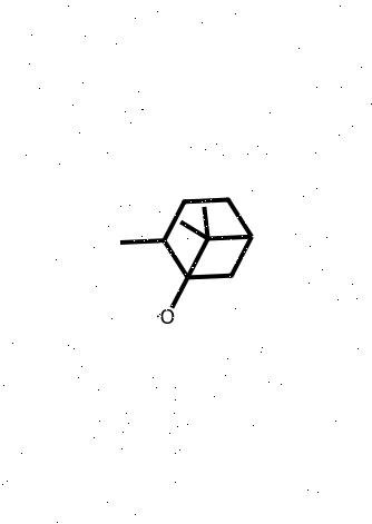 CC1CCC2CC1([O])C2(C)C